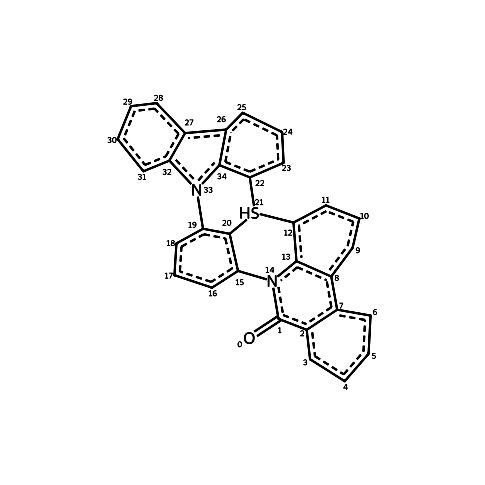 O=c1c2ccccc2c2cccc3c2n1-c1cccc2c1[SH]3c1cccc3c4ccccc4n-2c13